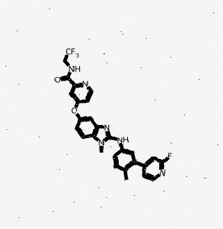 Cc1ccc(Nc2nc3cc(Oc4ccnc(C(=O)NCC(F)(F)F)c4)ccc3n2C)cc1-c1ccnc(F)c1